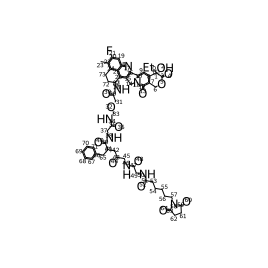 CC[C@@]1(O)C(=O)OCc2c1cc1n(c2=O)Cc2c-1nc1cc(F)c(C)c3c1c2[C@@H](NC(=O)COCNC(=O)CNC(=O)[C@@H](CC(=O)CNC(=O)CNC(=O)CCCCCN1C(=O)CCC1=O)Cc1ccccc1)CC3